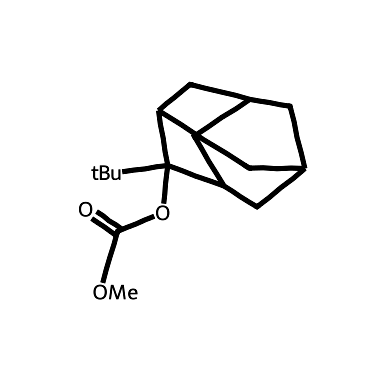 COC(=O)OC1(C(C)(C)C)C2CC3CC(C2)CC1C3